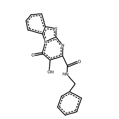 O=C(NCc1ccccc1)c1nc2sc3ccccc3n2c(=O)c1O